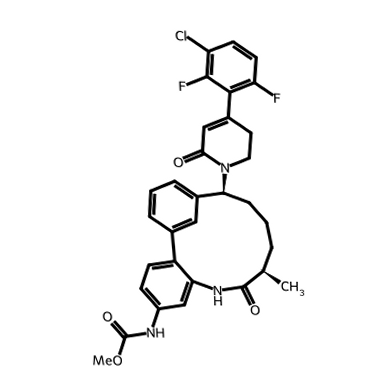 COC(=O)Nc1ccc2c(c1)NC(=O)[C@H](C)CCC[C@H](N1CCC(c3c(F)ccc(Cl)c3F)=CC1=O)c1cccc-2c1